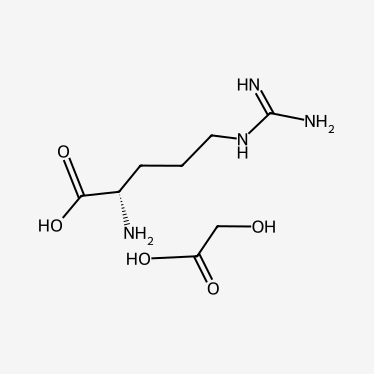 N=C(N)NCCC[C@H](N)C(=O)O.O=C(O)CO